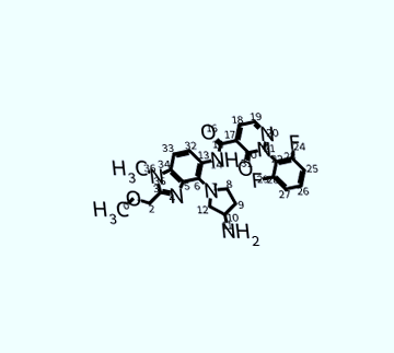 COCc1nc2c(N3CCC(N)C3)c(NC(=O)c3ccnn(-c4c(F)cccc4F)c3=O)ccc2n1C